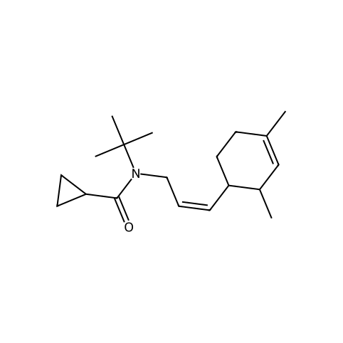 CC1=CC(C)C(/C=C\CN(C(=O)C2CC2)C(C)(C)C)CC1